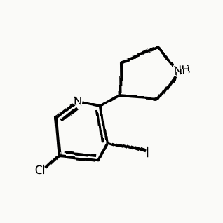 Clc1cnc(C2CCNC2)c(I)c1